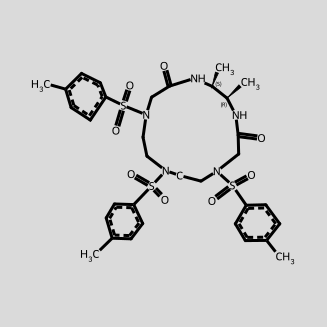 Cc1ccc(S(=O)(=O)N2CCN(S(=O)(=O)c3ccc(C)cc3)CC(=O)N[C@@H](C)[C@@H](C)NC(=O)CN(S(=O)(=O)c3ccc(C)cc3)CC2)cc1